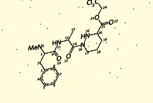 CNC(Cc1ccccc1)C(=O)NC(C)C(=O)N1CCCC(C(=O)OCC(Cl)(Cl)Cl)N1